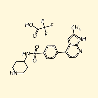 Cc1cc2c(-c3ccc(S(=O)(=O)NC4CCNCC4)cc3)ccnc2[nH]1.O=C(O)C(F)(F)F